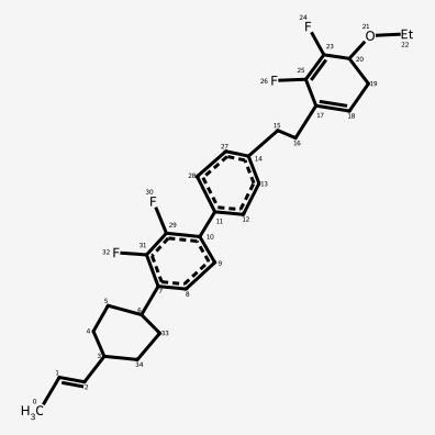 C/C=C/C1CCC(c2ccc(-c3ccc(CCC4=CCC(OCC)C(F)=C4F)cc3)c(F)c2F)CC1